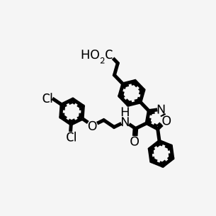 O=C(O)CCc1ccc(-c2noc(-c3ccccc3)c2C(=O)NCCOc2ccc(Cl)cc2Cl)cc1